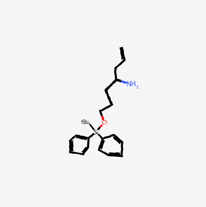 C=CCC(N)CCCO[Si](c1ccccc1)(c1ccccc1)C(C)(C)C